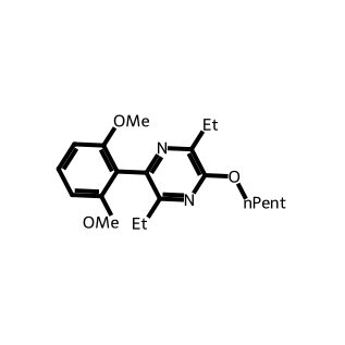 CCCCCOc1nc(CC)c(-c2c(OC)cccc2OC)nc1CC